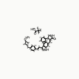 CC(C)OC1CN(Cc2ccc(/C=C/c3n[nH]c4cc(/C=C5/C(=O)NCC5c5ccccc5)ccc34)cc2)C1.O=C(O)C(F)(F)F